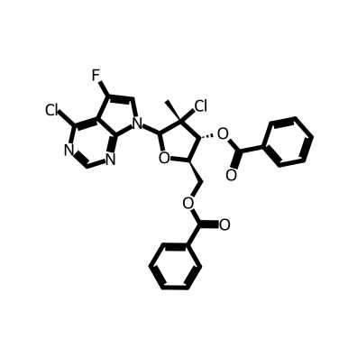 C[C@]1(Cl)C(n2cc(F)c3c(Cl)ncnc32)O[C@H](COC(=O)c2ccccc2)[C@H]1OC(=O)c1ccccc1